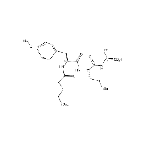 CCCCCCCCCCCCCC(=O)N[C@@H](Cc1ccc(OC(C)(C)C)cc1)C(=O)N[C@@H](COC(C)(C)C)C(=O)N[C@H](C(=O)O)C(C)C